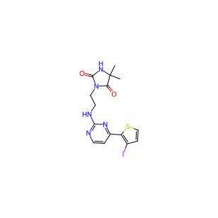 CC1(C)NC(=O)N(CCNc2nccc(-c3sccc3I)n2)C1=O